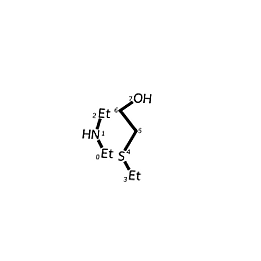 CCNCC.CCSCCO